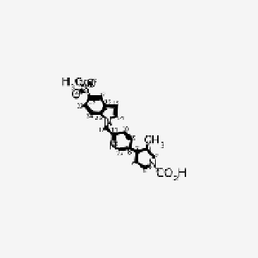 CC1CN(C(=O)O)CCC1c1ccc(Cn2ccc3cc(S(C)(=O)=O)ccc32)nc1